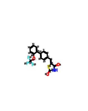 O=C1NC(=O)C(=Cc2ccc(-c3ccccc3OC(F)(F)F)cc2)S1